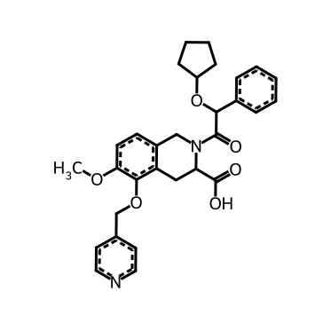 COc1ccc2c(c1OCc1ccncc1)CC(C(=O)O)N(C(=O)C(OC1CCCC1)c1ccccc1)C2